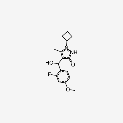 COc1ccc(C(O)c2c(C)n(C3CCC3)[nH]c2=O)c(F)c1